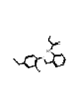 CCC(=O)Nc1ccccc1COc1ccc(CC)cc1Br